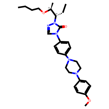 CCCCO[C@@H](C)[C@H](CC)n1ncn(-c2ccc(N3CCN(c4ccc(OC)cc4)CC3)cc2)c1=O